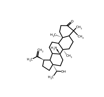 C=C(C)[C@@H]1CC[C@]2(C(C)O)CC[C@]3(N)C(CCC4[C@@]5(C)CCC(=O)C(C)(C)C5CC[C@]43C)C12